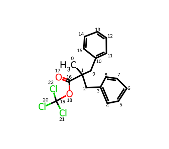 CC(Cc1ccccc1)(Cc1ccccc1)C(=O)OC(Cl)(Cl)Cl